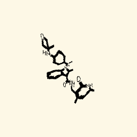 Cc1cc(C)c(CNC(=O)c2c(C)n([C@H](C)C3CCC(NC4(C)COC4)CC3)c3ccccc23)c(=O)[nH]1